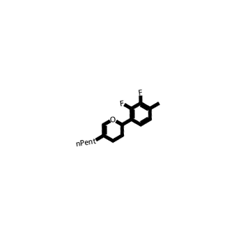 CCCCCC1=COC(c2ccc(C)c(F)c2F)CC1